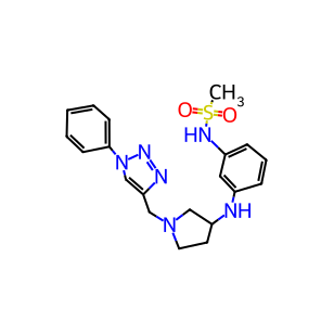 CS(=O)(=O)Nc1cccc(NC2CCN(Cc3cn(-c4ccccc4)nn3)C2)c1